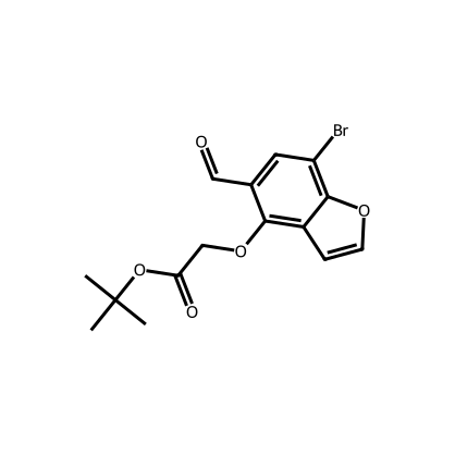 CC(C)(C)OC(=O)COc1c(C=O)cc(Br)c2occc12